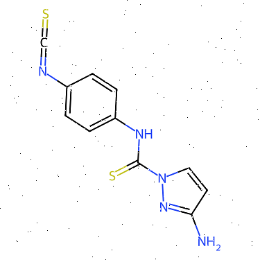 Nc1ccn(C(=S)Nc2ccc(N=C=S)cc2)n1